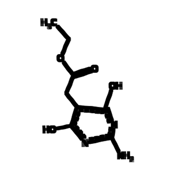 CCOC(=O)Cc1c(O)nc(N)nc1O